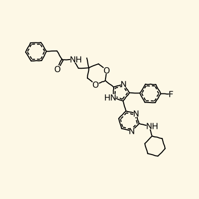 CC1(CNC(=O)Cc2ccccc2)COC(c2nc(-c3ccc(F)cc3)c(-c3ccnc(NC4CCCCC4)n3)[nH]2)OC1